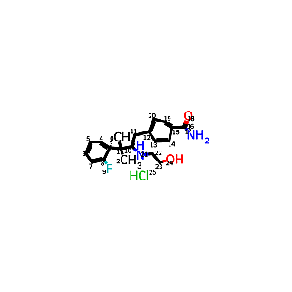 CC(C)(c1ccccc1F)C(Cc1ccc(C(N)=O)cc1)NCCO.Cl